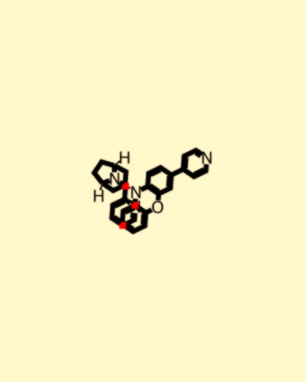 c1ccc(CN2[C@@H]3CC[C@H]2C[C@H](N2c4ccccc4Oc4cc(-c5ccncc5)ccc42)C3)nc1